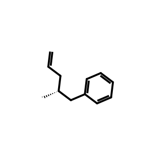 [CH2][C@H](CC=C)Cc1ccccc1